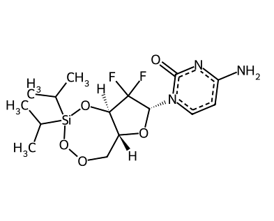 CC(C)[Si]1(C(C)C)OOC[C@H]2O[C@@H](n3ccc(N)nc3=O)C(F)(F)[C@@H]2O1